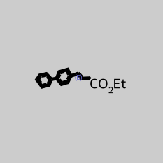 CCOC(=O)C/C=C/c1ccc(-c2ccccc2)cc1